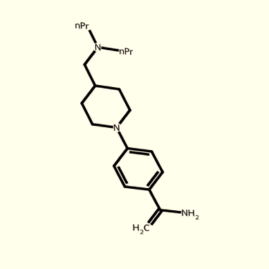 C=C(N)c1ccc(N2CCC(CN(CCC)CCC)CC2)cc1